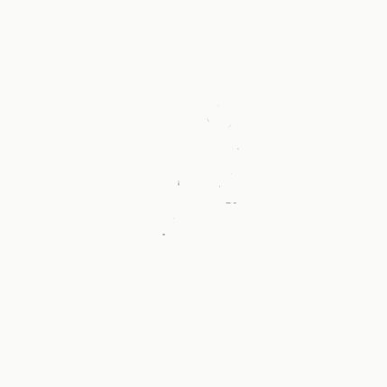 CCCCc1ccc(N(C(OC(=O)c2cc(Cl)ccc2Cl)C(C)OC)C(OC(=O)c2cc(Cl)ccc2Cl)C(C)OC)cc1